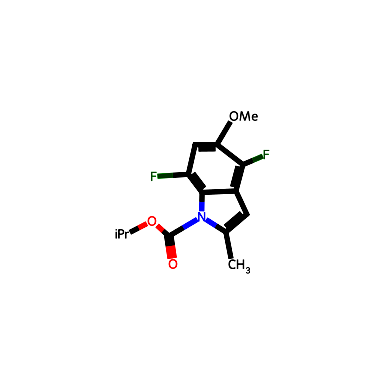 COc1cc(F)c2c(cc(C)n2C(=O)OC(C)C)c1F